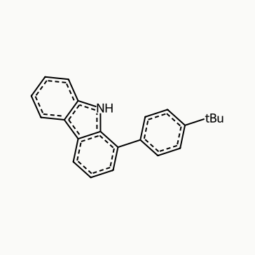 CC(C)(C)c1ccc(-c2cccc3c2[nH]c2ccccc23)cc1